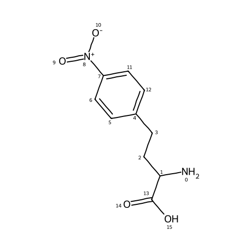 NC(CCc1ccc([N+](=O)[O-])cc1)C(=O)O